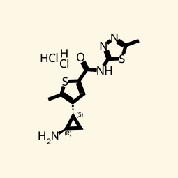 Cc1nnc(NC(=O)c2cc([C@@H]3C[C@H]3N)c(C)s2)s1.Cl.Cl